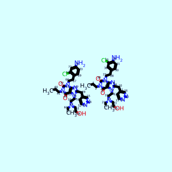 CCCn1c(=O)c2c(nc(Cc3ccnnc3)n2CCN(CC)CCO)n(CCc2ccc(N)c(Cl)c2)c1=O.CCCn1c(=O)c2c(nc(Cc3ccnnc3)n2CCN(CC)CCO)n(CCc2ccc(N)cc2Cl)c1=O